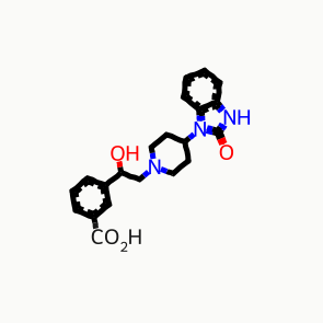 O=C(O)c1cccc(C(O)CN2CCC(n3c(=O)[nH]c4ccccc43)CC2)c1